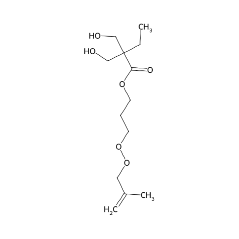 C=C(C)COOCCCOC(=O)C(CC)(CO)CO